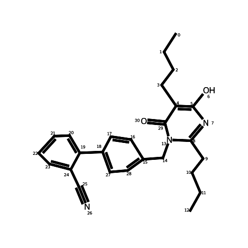 CCCCc1c(O)nc(CCCC)n(Cc2ccc(-c3ccccc3C#N)cc2)c1=O